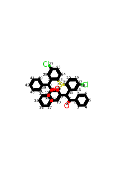 O=C(c1ccccc1)C(c1ccccc1)c1cc(Cl)ccc1Sc1ccc(Cl)cc1C(C(=O)c1ccccc1)c1ccccc1